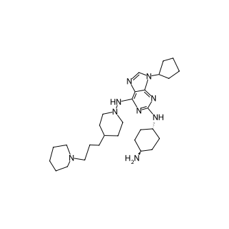 N[C@H]1CC[C@H](Nc2nc(NN3CCC(CCCN4CCCCC4)CC3)c3ncn(C4CCCC4)c3n2)CC1